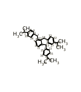 CC(C)c1ccc(Cc2cccc(Cc3ccc(C(C)C)cc3)c2Cc2ccc(C(C)C)cc2)cc1